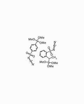 CO[Si](OC)(OC)C(C)c1ccccc1S(=O)(=O)N=[N+]=[N-].CO[Si](OC)(OC)c1ccc(S(=O)(=O)N=[N+]=[N-])cc1